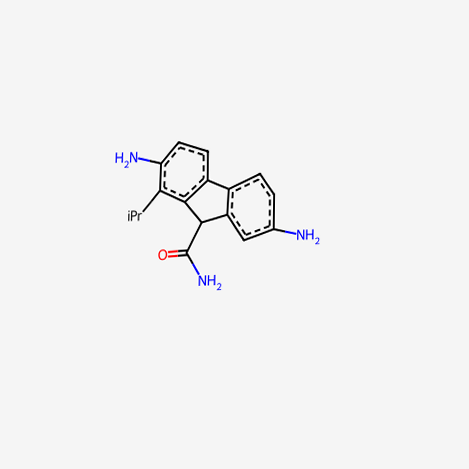 CC(C)c1c(N)ccc2c1C(C(N)=O)c1cc(N)ccc1-2